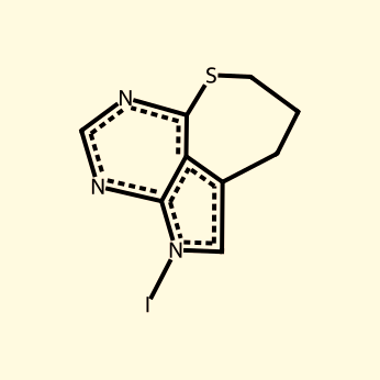 In1cc2c3c(ncnc31)SCCC2